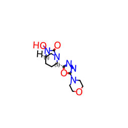 O=C1N(O)[C@@H]2CC[C@@H](c3nnc(N4CCOCC4)o3)N1C2